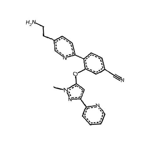 Cn1nc(-c2ccccn2)cc1Oc1cc(C#N)ccc1-c1ccc(CCN)cn1